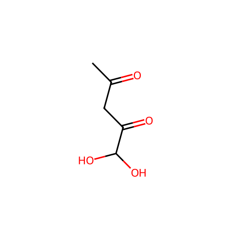 CC(=O)CC(=O)C(O)O